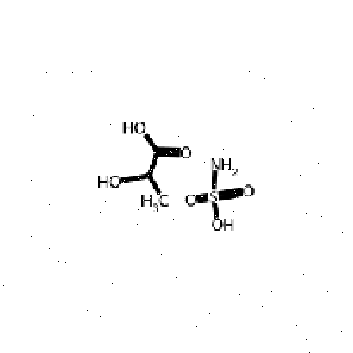 CC(O)C(=O)O.NS(=O)(=O)O